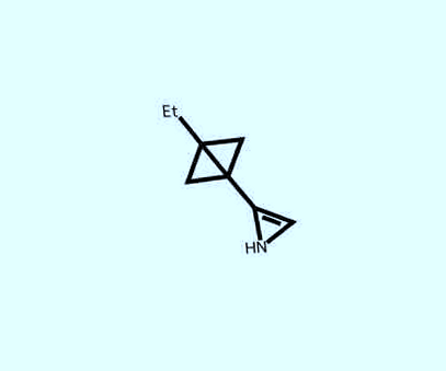 CCC12CC1(C1=CN1)C2